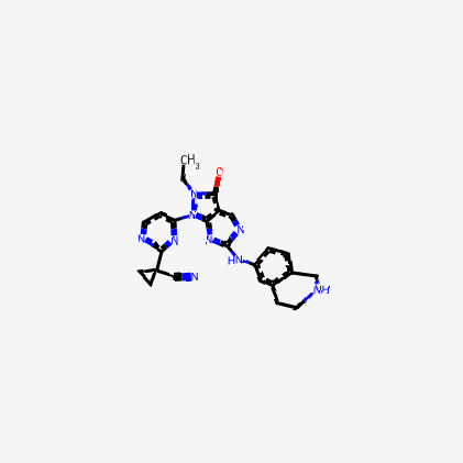 CCn1c(=O)c2cnc(Nc3ccc4c(c3)CCNC4)nc2n1-c1ccnc(C2(C#N)CC2)n1